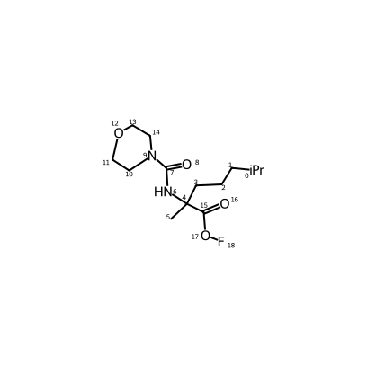 CC(C)CCCC(C)(NC(=O)N1CCOCC1)C(=O)OF